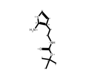 CC(C)(C)OC(=O)NCCc1ccsc1N